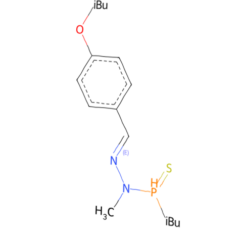 CCC(C)Oc1ccc(/C=N/N(C)[PH](=S)C(C)CC)cc1